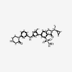 CCNS(=O)(=O)c1cc(-c2sc(Nc3cccc(N4CCNCC4=O)n3)nc2C)cc2c1C(=O)N([C@@H](C)C1CC1)C2